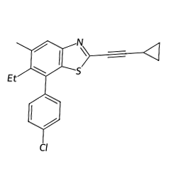 CCc1c(C)cc2nc(C#CC3CC3)sc2c1-c1ccc(Cl)cc1